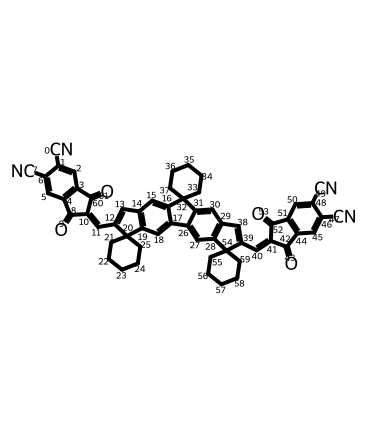 N#Cc1cc2c(cc1C#N)C(=O)C(=CC1=Cc3cc4c(cc3C13CCCCC3)-c1cc3c(cc1C41CCCCC1)C=C(C=C1C(=O)c4cc(C#N)c(C#N)cc4C1=O)C31CCCCC1)C2=O